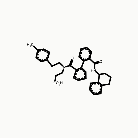 Cc1ccc(CCN(CCC(=O)O)C(=O)c2ccccc2-c2ccccc2C(=O)NC2CCCc3ccccc32)cc1